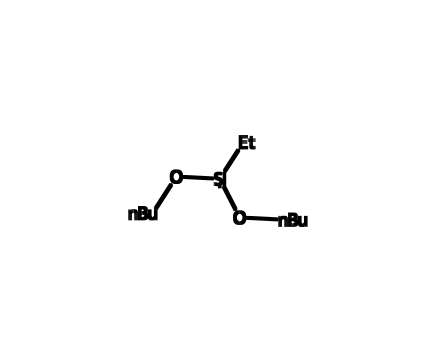 CCCCO[Si](CC)OCCCC